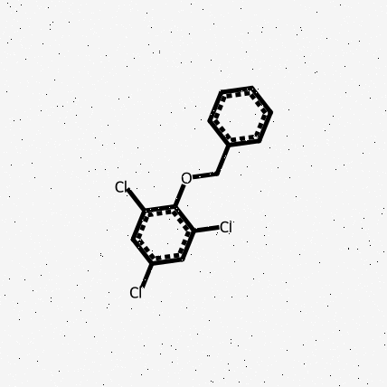 Clc1cc(Cl)c(OCc2ccccc2)c(Cl)c1